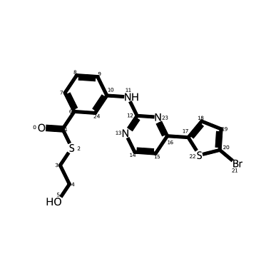 O=C(SCCO)c1cccc(Nc2nccc(-c3ccc(Br)s3)n2)c1